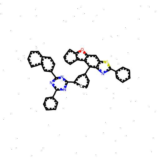 c1ccc(-c2nc(-c3cccc(-c4c5nc(-c6ccccc6)sc5cc5oc6ccccc6c45)c3)nc(-c3ccc4ccccc4c3)n2)cc1